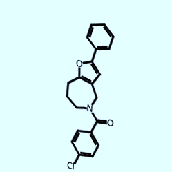 O=C(c1ccc(Cl)cc1)N1CCCc2oc(-c3ccccc3)cc2C1